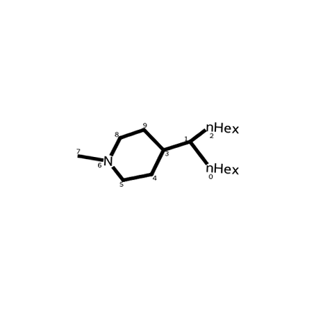 CCCCCCC(CCCCCC)C1CCN(C)CC1